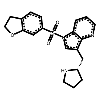 O=S(=O)(c1ccc2c(c1)OCC2)n1cc(C[C@@H]2CCCN2)c2ncccc21